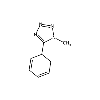 Cn1nnnc1C1C=CC=CC1